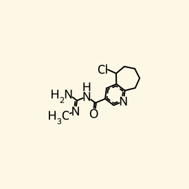 CN=C(N)NC(=O)c1cnc2c(c1)C(Cl)CCCC2